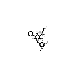 COc1cc(Cn2c(=O)c(C(=O)NCC=O)c(O)n(C3CCCCC3)c2=O)cc(OC)c1